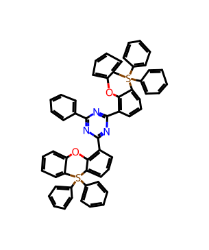 c1ccc(-c2nc(-c3cccc4c3Oc3ccccc3S4(c3ccccc3)c3ccccc3)nc(-c3cccc4c3Oc3ccccc3S4(c3ccccc3)c3ccccc3)n2)cc1